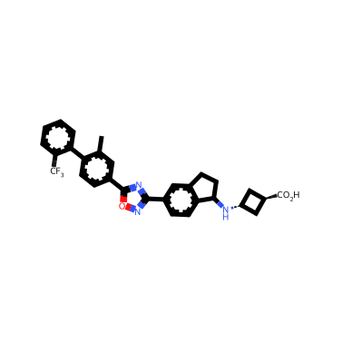 Cc1cc(-c2nc(-c3ccc4c(c3)CCC4N[C@H]3C[C@H](C(=O)O)C3)no2)ccc1-c1ccccc1C(F)(F)F